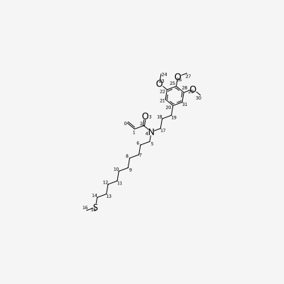 C=CC(=O)N(CCCCCCCCCCSC)CCCc1cc(OC)c(OC)c(OC)c1